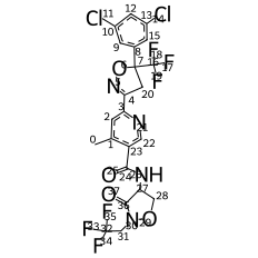 Cc1cc(C2=NOC(c3cc(Cl)cc(Cl)c3)(C(F)(F)F)C2)ncc1C(=O)NC1CON(CC(F)(F)F)C1=O